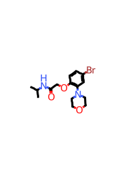 CC(C)NC(=O)COc1ccc(Br)cc1N1CCOCC1